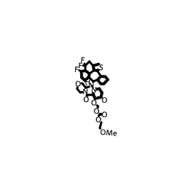 COCCOC(=O)OCOc1c2n(ccc1=O)N([C@@H]1c3ccccc3-c3scc4c3-c3c1ccc(F)c3C(F)(F)C4)[C@@H]1COCCN1C2=O